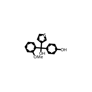 COc1ccccc1C(O)(c1ccc(O)cc1)c1ccsc1